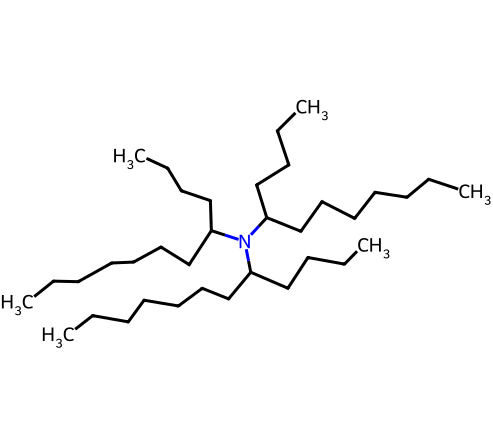 CCCCCCCC(CCCC)N(C(CCCC)CCCCCCC)C(CCCC)CCCCCCC